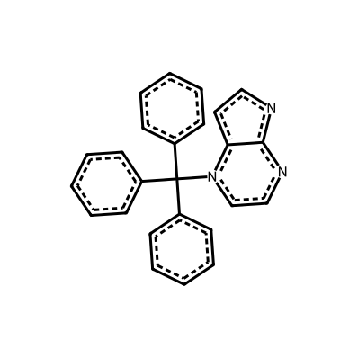 c1ccc(C(c2ccccc2)(c2ccccc2)n2ccnc3nccc2-3)cc1